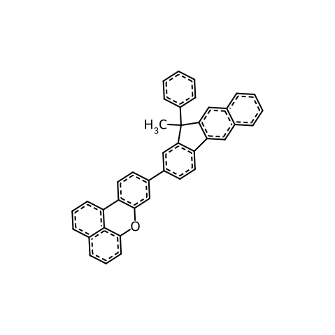 CC1(c2ccccc2)c2cc(-c3ccc4c(c3)Oc3cccc5cccc-4c35)ccc2-c2cc3ccccc3cc21